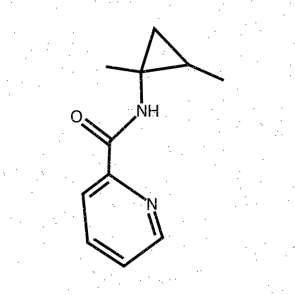 CC1CC1(C)NC(=O)c1ccccn1